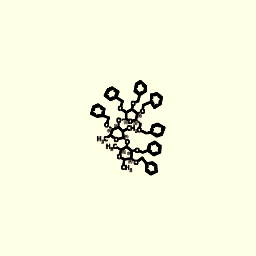 CC1[C@H](OC2[C@H](C)OC(C)[C@H](OCc3ccccc3)[C@@H]2OCc2ccccc2)OC(C)[C@H](OCc2ccccc2)[C@@H]1O[C@H]1O[C@@H](COCc2ccccc2)[C@@H](OCc2ccccc2)C(OCc2ccccc2)C1OCc1ccccc1